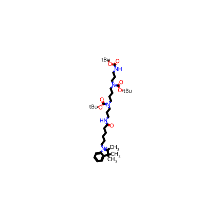 CC1=[N+](CCCCCC(=O)NCCCN(CCCCN(CCCNC(=O)OC(C)(C)C)C(=O)OC(C)(C)C)C(=O)OC(C)(C)C)c2ccccc2C1(C)C